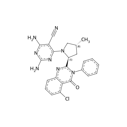 C[C@@H]1C[C@@H](c2nc3cccc(Cl)c3c(=O)n2-c2ccccc2)N(c2nc(N)nc(N)c2C#N)C1